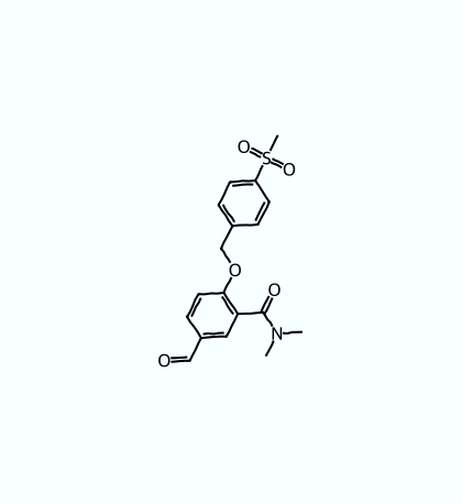 CN(C)C(=O)c1cc(C=O)ccc1OCc1ccc(S(C)(=O)=O)cc1